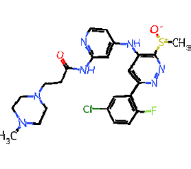 CN1CCN(CCC(=O)Nc2cc(Nc3cc(-c4cc(Cl)ccc4F)nnc3[S+](C)[O-])ccn2)CC1